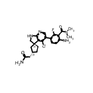 CN(C)C(=O)c1c(N)ccc(-c2cnc3c(c2Cl)[C@@]2(CC[C@H](CC(N)=O)C2)CN3)c1F